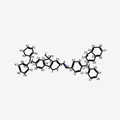 CC1(C)C2=C(CCC(/C=C/c3ccc(N(c4ccccc4)c4ccc5ccccc5c4)cc3)=C2)c2ccc(N(C3=CC=CCC3)c3ccccc3)cc21